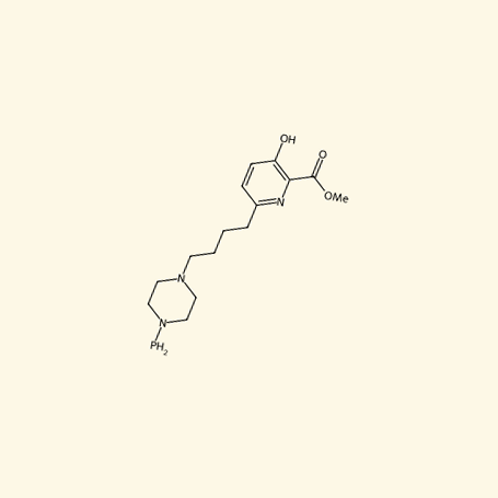 COC(=O)c1nc(CCCCN2CCN(P)CC2)ccc1O